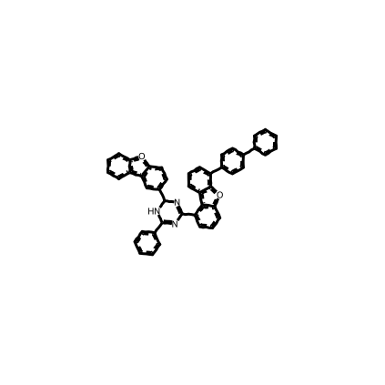 c1ccc(C2=NC(c3cccc4oc5c(-c6ccc(-c7ccccc7)cc6)cccc5c34)=NC(c3ccc4oc5ccccc5c4c3)N2)cc1